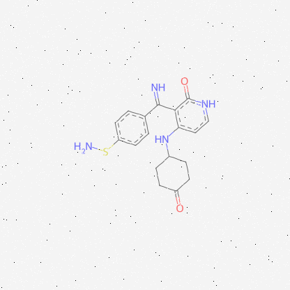 N=C(c1ccc(SN)cc1)c1c(NC2CCC(=O)CC2)cc[nH]c1=O